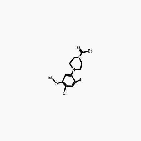 CCOc1cc(N2CCN(C(=O)CC)CC2)c(F)cc1Cl